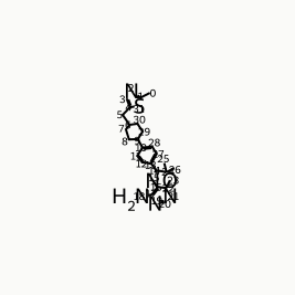 Cc1ncc(CC2CCC(c3ccc(C4=Nc5c(N)ncnc5OC4(C)C)cc3)CC2)s1